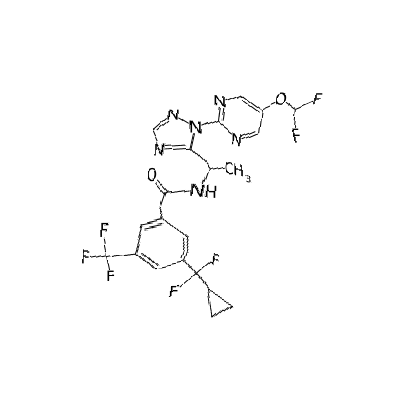 CC(NC(=O)c1cc(C(F)(F)F)cc(C(F)(F)C2CC2)c1)c1ncnn1-c1ncc(OC(F)F)cn1